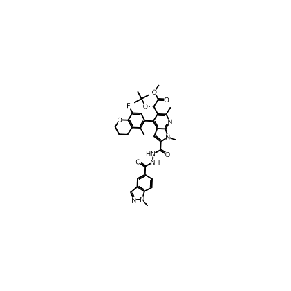 COC(=O)[C@@H](OC(C)(C)C)c1c(C)nc2c(cc(C(=O)NNC(=O)c3ccc4c(cnn4C)c3)n2C)c1-c1cc(F)c2c(c1C)CCCO2